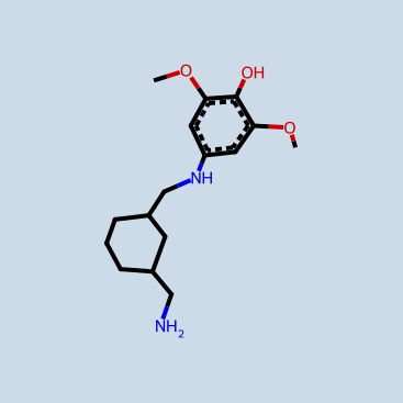 COc1cc(NCC2CCCC(CN)C2)cc(OC)c1O